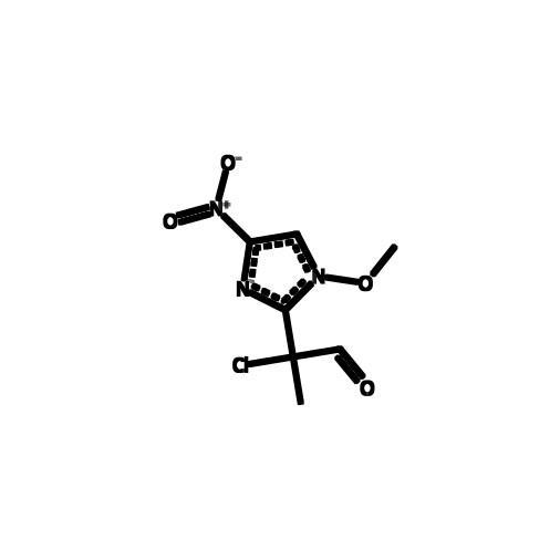 COn1cc([N+](=O)[O-])nc1C(C)(Cl)C=O